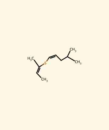 C/C=C(/C)S/C=C\CC(C)C